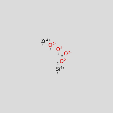 [O-2].[O-2].[O-2].[O-2].[Si+4].[Zr+4]